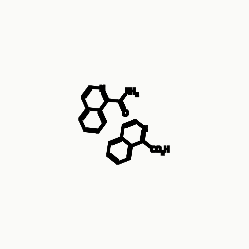 NC(=O)c1nccc2ccccc12.O=C(O)c1nccc2ccccc12